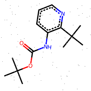 CC(C)(C)OC(=O)Nc1cccnc1C(C)(C)C